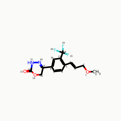 COC/C=C/c1ccc(C2=NNC(=O)OC2)cc1C(F)(F)F